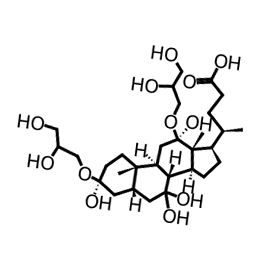 C[C@H](CCC(=O)O)[C@H]1CC[C@H]2[C@H]3[C@H](C[C@@](O)(OCC(O)CO)[C@]12C)[C@@]1(C)CC[C@](O)(OCC(O)CO)C[C@H]1CC3(O)O